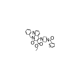 CCOC(=O)c1c(N2CCN(C(=O)c3cccs3)CC2)c2cccnc2n(Cc2ccccc2)c1=O